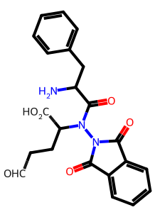 NC(Cc1ccccc1)C(=O)N(C(CCC=O)C(=O)O)N1C(=O)c2ccccc2C1=O